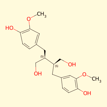 COc1cc(C[C@H](CO)[C@@H](CO)Cc2ccc(O)c(OC)c2)ccc1O